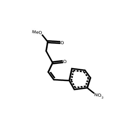 COC(=O)CC(=O)/C=C\c1cccc([N+](=O)[O-])c1